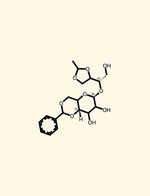 CC1OCC([C@H](CO)O[C@@H]2OC3COC(c4ccccc4)O[C@H]3C(O)C2O)O1